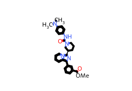 COC(=O)c1cccc(-c2nc([C@@H]3CCCN(C(=O)Nc4ccc(N(C)C)cc4)C3)n3ccccc23)c1